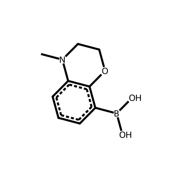 CN1CCOc2c(B(O)O)cccc21